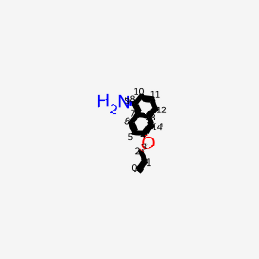 C=CCOc1ccc2c(N)cccc2c1